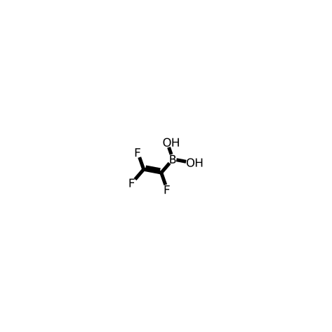 OB(O)C(F)=C(F)F